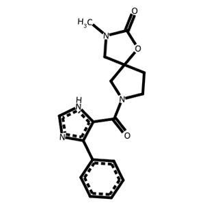 CN1CC2(CCN(C(=O)c3[nH]cnc3-c3ccccc3)C2)OC1=O